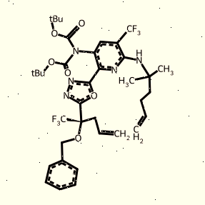 C=CCCC(C)(C)Nc1nc(-c2nnc([C@](CC=C)(OCc3ccccc3)C(F)(F)F)o2)c(N(C(=O)OC(C)(C)C)C(=O)OC(C)(C)C)cc1C(F)(F)F